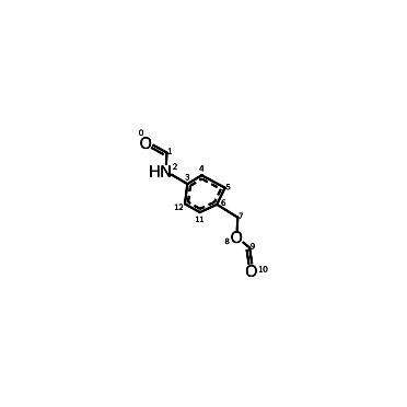 O=CNc1ccc(COC=O)cc1